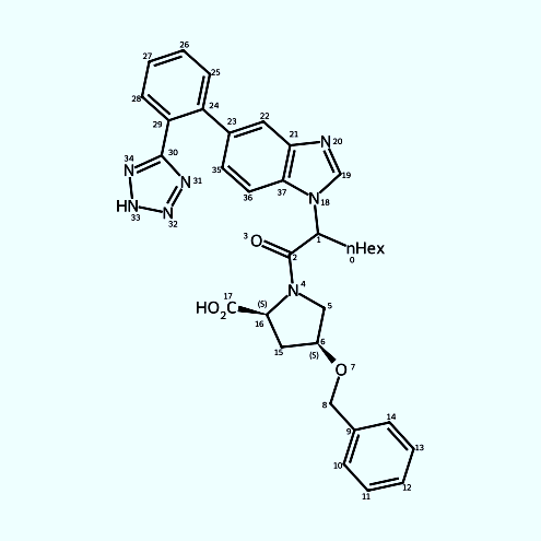 CCCCCCC(C(=O)N1C[C@@H](OCc2ccccc2)C[C@H]1C(=O)O)n1cnc2cc(-c3ccccc3-c3nn[nH]n3)ccc21